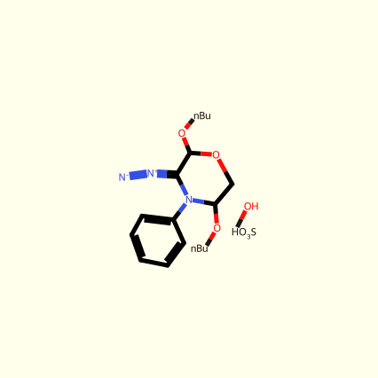 CCCCOC1OCC(OCCCC)N(c2ccccc2)C1=[N+]=[N-].O=S(=O)(O)O